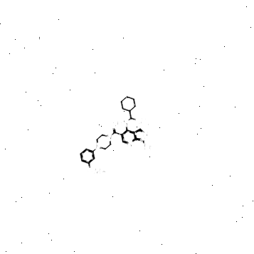 CCn1ncc2c(NC(C)C3CCCCC3)c(C(=O)N3CCN(c4cccc(OC)c4)CC3)cnc21